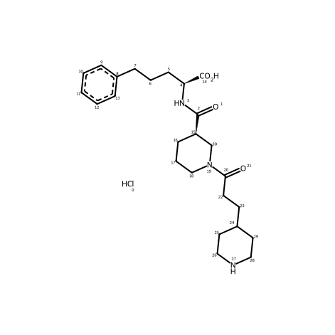 Cl.O=C(N[C@@H](CCCc1ccccc1)C(=O)O)[C@@H]1CCCN(C(=O)CCC2CCNCC2)C1